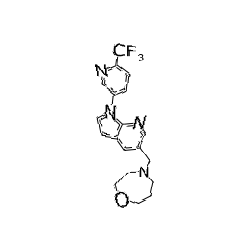 FC(F)(F)c1ccc(-n2ccc3cc(CN4CCCOCC4)cnc32)cn1